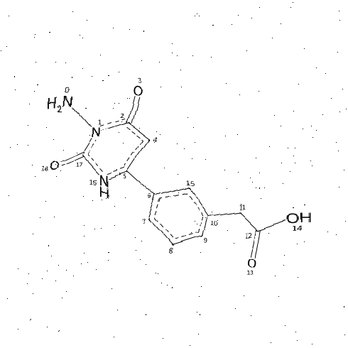 Nn1c(=O)cc(-c2cccc(CC(=O)O)c2)[nH]c1=O